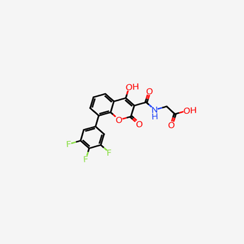 O=C(O)CNC(=O)c1c(O)c2cccc(-c3cc(F)c(F)c(F)c3)c2oc1=O